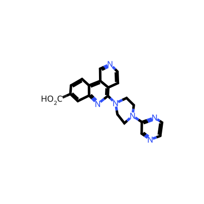 O=C(O)c1ccc2c(c1)nc(N1CCN(c3cnccn3)CC1)c1ccncc12